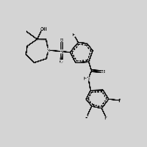 CC1(O)CCCCN(S(=O)(=O)c2cc(C(=O)Nc3cc(F)c(F)c(F)c3)ccc2F)C1